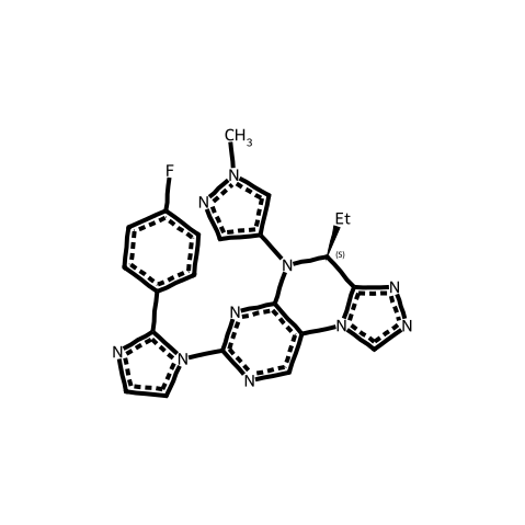 CC[C@H]1c2nncn2-c2cnc(-n3ccnc3-c3ccc(F)cc3)nc2N1c1cnn(C)c1